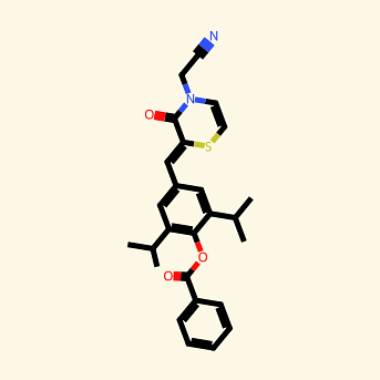 CC(C)c1cc(/C=C2\SC=CN(CC#N)C2=O)cc(C(C)C)c1OC(=O)c1ccccc1